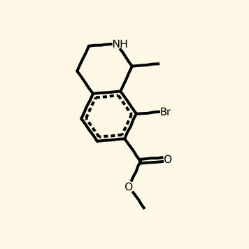 COC(=O)c1ccc2c(c1Br)C(C)NCC2